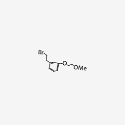 COCCOc1cccc(CCBr)c1